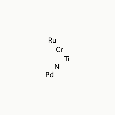 [Cr].[Ni].[Pd].[Ru].[Ti]